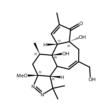 CO[C@@]12C[C@@H](C)[C@@]3(O)C(C=C(CO)C[C@]4(O)C(=O)C(C)=C[C@@H]34)[C@@H]1C(C)(C)N=N2